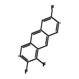 Fc1[c]cc2cc3c(F)c(F)[c]cc3cc2c1